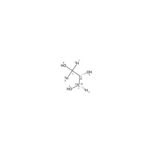 [2H][13C@H](O)[C@@H](O)C([2H])([2H])O